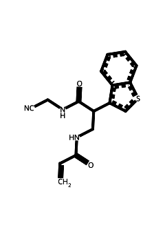 C=CC(=O)NCC(C(=O)NCC#N)c1csc2ccccc12